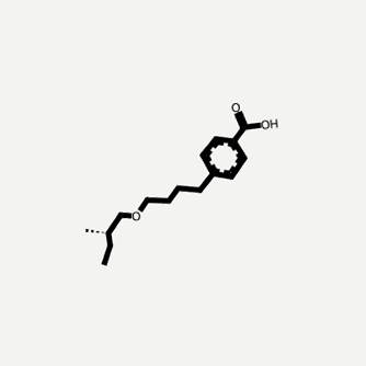 CC[C@H](C)COCCCCc1ccc(C(=O)O)cc1